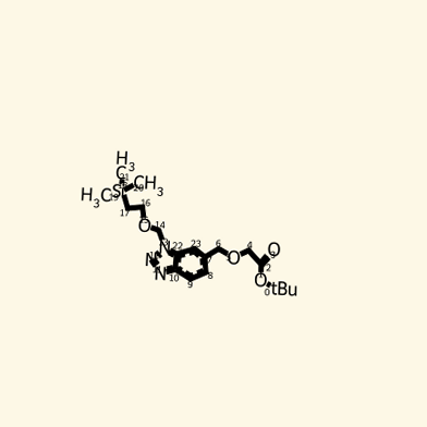 CC(C)(C)OC(=O)COCc1ccc2nnn(COCC[Si](C)(C)C)c2c1